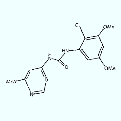 CNc1cc(NC(=O)Nc2cc(OC)cc(OC)c2Cl)ncn1